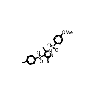 COc1ccc(S(=O)(=O)n2nc(C)c(S(=O)(=O)c3ccc(C)cc3)c2C)cc1